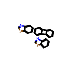 c1ccc2c(c1)-c1ccccc1-2.c1ccc2scnc2c1.c1ccc2scnc2c1